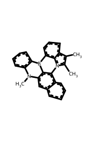 Cc1c(C)n2c3c(cccc13)B1c3ccccc3N(C)c3cc4ccccc4c-2c31